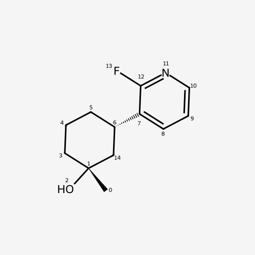 C[C@@]1(O)CCC[C@H](c2cccnc2F)C1